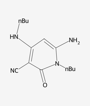 CCCCNc1cc(N)n(CCCC)c(=O)c1C#N